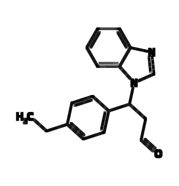 CCc1ccc(C(CC=O)n2cnc3ccccc32)cc1